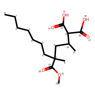 CCCCCCCC(C)(CC(C)C(C(=O)O)C(=O)O)C(=O)OC